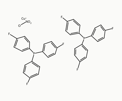 Fc1ccc(P(c2ccc(F)cc2)c2ccc(F)cc2)cc1.Fc1ccc(P(c2ccc(F)cc2)c2ccc(F)cc2)cc1.O=[N+]([O-])[O-].[Cu+]